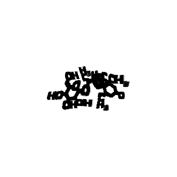 CC(/C=C/C1(O)C(C)CC(=O)CC1(C)C)OC1OC(CO)C(O)C(O)C1O